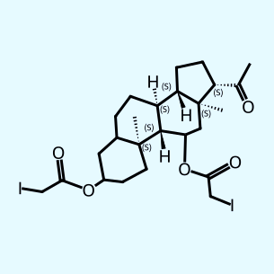 CC(=O)[C@H]1CC[C@H]2[C@@H]3CCC4CC(OC(=O)CI)CC[C@]4(C)[C@H]3C(OC(=O)CI)C[C@]12C